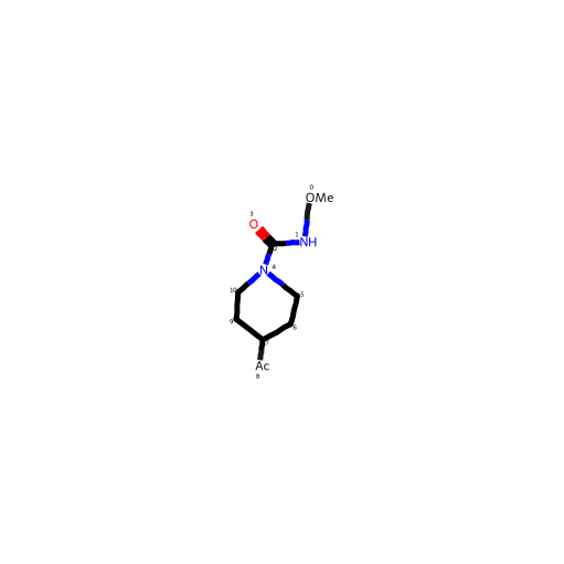 CONC(=O)N1CCC(C(C)=O)CC1